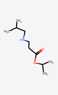 CC(C)CNCCC(=O)OC(C)C